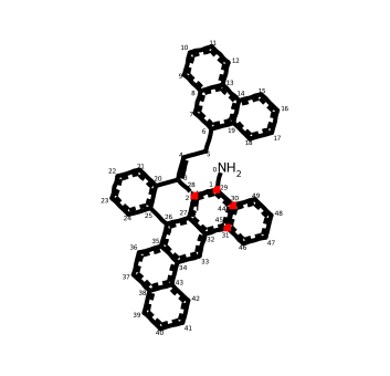 NC(N/C(=C\Cc1cc2ccccc2c2ccccc12)c1ccccc1-c1c2ccccc2cc2c1ccc1ccccc12)c1ccccc1